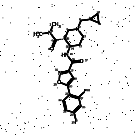 CN(C)C(=O)[C@@H]1CN(CC2CC2)CC[C@H]1NC(=O)c1cc(-c2ccc(F)cc2F)on1